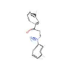 O=C(/C=C\Nc1ccccc1)c1ccccc1